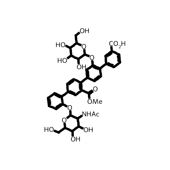 COC(=O)c1cc(-c2ccccc2OC2OC(CO)C(O)C(O)C2NC(C)=O)ccc1-c1ccc(-c2cccc(C(=O)O)c2)c(OC2OC(CO)C(O)C(O)C2O)c1